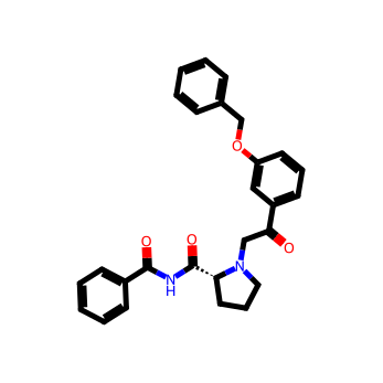 O=C(CN1CCC[C@@H]1C(=O)NC(=O)c1ccccc1)c1cccc(OCc2ccccc2)c1